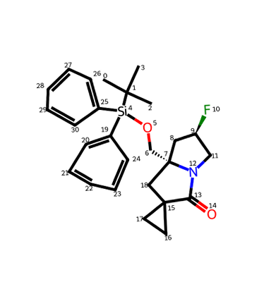 CC(C)(C)[Si](OC[C@]12C[C@@H](F)CN1C(=O)C1(CC1)C2)(c1ccccc1)c1ccccc1